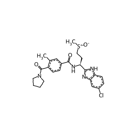 Cc1cc(C(=O)N[C@@H](CC[S+](C)[O-])c2nc3cc(Cl)ccc3[nH]2)ccc1C(=O)N1CCCC1